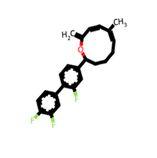 C=C1/C=C\C(C)=C/CCCC(c2ccc(-c3ccc(F)c(F)c3)c(F)c2)O1